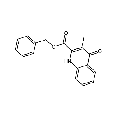 Cc1c(C(=O)OCc2ccccc2)[nH]c2ccccc2c1=O